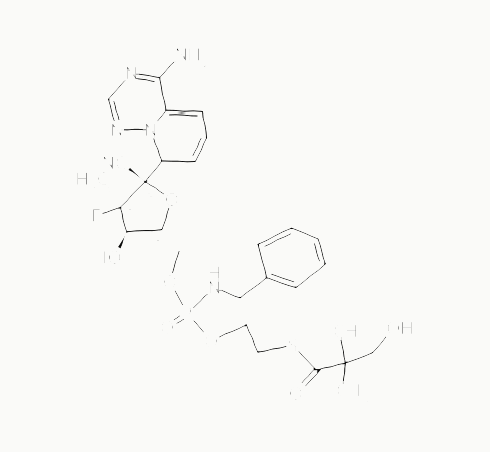 CC(C)(CO)C(=O)SCCOP(=O)(NCc1ccccc1)OC[C@H]1O[C@@](C#N)(C2C=CC=C3C(N)=NC=NN32)[C@](C)(F)[C@@H]1O